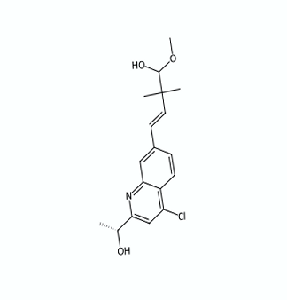 COC(O)C(C)(C)/C=C/c1ccc2c(Cl)cc([C@@H](C)O)nc2c1